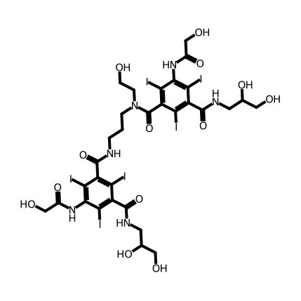 O=C(CO)Nc1c(I)c(C(=O)NCCCN(CCO)C(=O)c2c(I)c(NC(=O)CO)c(I)c(C(=O)NCC(O)CO)c2I)c(I)c(C(=O)NCC(O)CO)c1I